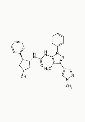 Cc1c(-c2cnn(C)c2)nn(-c2ccccc2)c1NC(=O)N[C@@H]1CC(O)C[C@H]1c1ccccc1